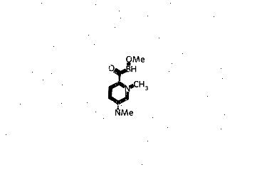 CN[C@@H]1CC[C@@H](C(=O)BOC)N(C)C1